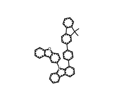 CC1(C)c2ccccc2-c2ccc(-c3ccc(-c4cccc5c6ccccc6n(-c6ccc7oc8ccccc8c7c6)c45)cc3)cc21